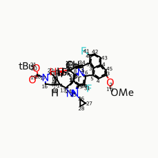 COCOc1cc(-c2nc(C(C)O)c3c(C4[C@H]5CN(C(=O)OC(C)(C)C)C[C@@H]45)nn(C4CC4)c3c2F)c2c(C#C[Si](C(C)C)(C(C)C)C(C)C)c(F)ccc2c1